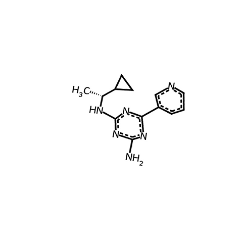 C[C@@H](Nc1nc(N)nc(-c2cccnc2)n1)C1CC1